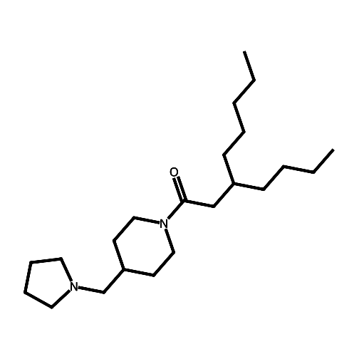 CCCCCC(CCCC)CC(=O)N1CCC(CN2CCCC2)CC1